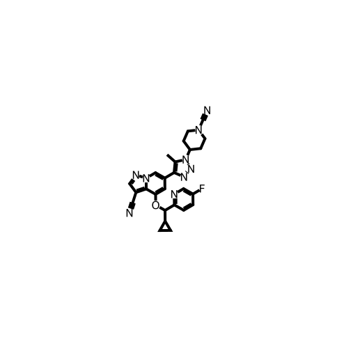 Cc1c(-c2cc(OC(c3ccc(F)cn3)C3CC3)c3c(C#N)cnn3c2)nnn1C1CCN(C#N)CC1